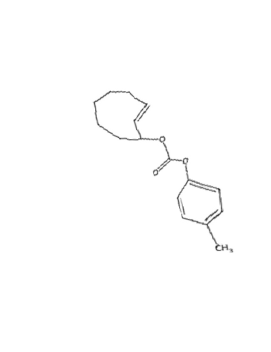 Cc1ccc(OC(=O)OC2/C=C/CCCCC2)cc1